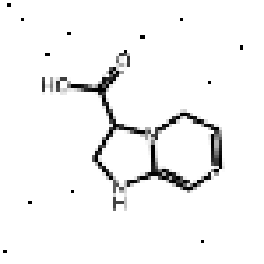 O=C(O)C1CNC2=CC=CCN21